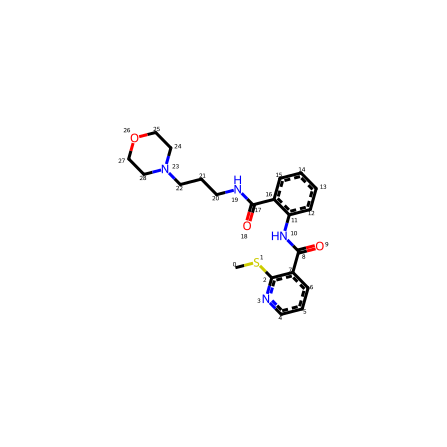 CSc1ncccc1C(=O)Nc1ccccc1C(=O)NCCCN1CCOCC1